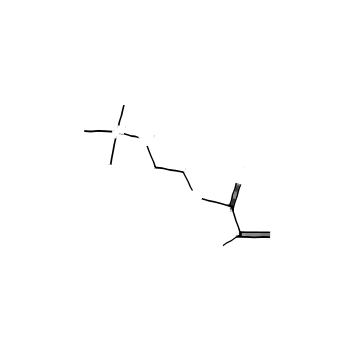 C=C(Br)C(=O)OCCO[Si](C)(C)C